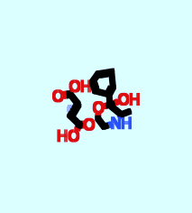 CC1NCCOC1(O)c1ccccc1.O=C(O)/C=C/C(=O)O